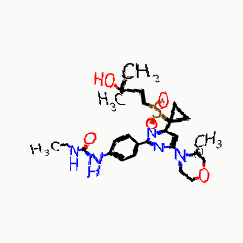 CCNC(=O)Nc1ccc(-c2nc(N3CCOC[C@@H]3C)cc(C3(S(=O)(=O)CCC(C)(C)O)CC3)n2)cc1